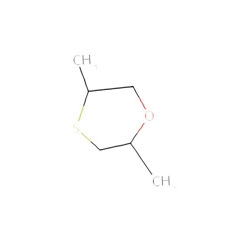 CC1CSC(C)CO1